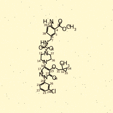 COC(=O)c1cc(CNS(=O)(=O)N2CCN(c3cnn(-c4cccc(Cl)c4)c(=O)c3OCC3(C)CC3)CC2)ccc1N